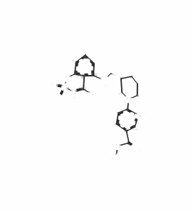 CCNC(=O)c1ccc(N2CCC[C@H](COc3cccc4c3C(N)=NS(=O)(=O)N4)C2)nc1